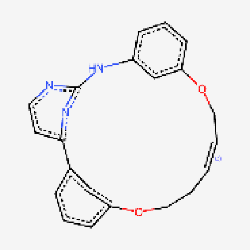 C1=C\COc2cccc(c2)Nc2nccc(n2)-c2cccc(c2)OCC/1